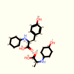 C[C@H](NC1CCC(O)CC1)C(=O)O.O=C(O)[C@H](Cc1ccc(O)cc1)NC1CCCCC1